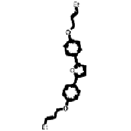 CCC=CCOc1ccc(-c2ccc(-c3ccc(OCC=CCC)cc3)o2)cc1